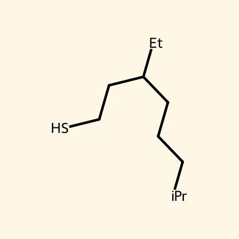 CCC(CCS)CCCC(C)C